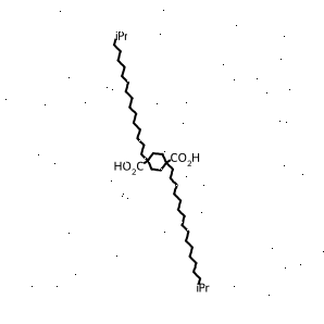 CC(C)CCCCCCCCCCCCCCCC1(C(=O)O)CCC(CCCCCCCCCCCCCCCC(C)C)(C(=O)O)CC1